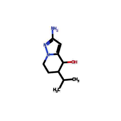 CC(C)C1CCn2nc(N)cc2C1O